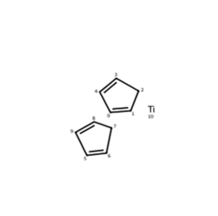 C1=CCC=C1.C1=CCC=C1.[Ti]